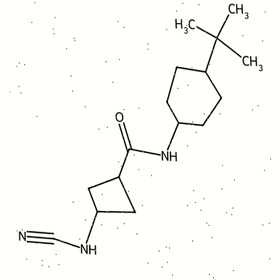 CC(C)(C)C1CCC(NC(=O)C2CC(NC#N)C2)CC1